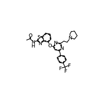 CC(=O)Nc1nc2c(Oc3cc(-c4ccc(C(F)(F)F)cc4)nc(CCN4CCCCC4)n3)cccc2s1